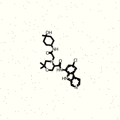 CC1(O)CCC(NC(=O)CN2CC(C)(C)OCC2C(=O)Nc2cc(Cl)cc3c2[nH]c2cnccc23)CC1